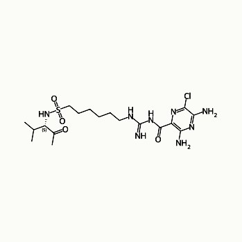 CC(=O)[C@@H](NS(=O)(=O)CCCCCCNC(=N)NC(=O)c1nc(Cl)c(N)nc1N)C(C)C